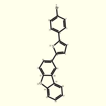 Brc1ccc(-c2ccc(-c3ccc4oc5ccccc5c4c3)s2)cc1